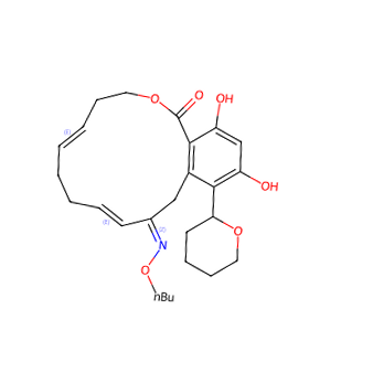 CCCCO/N=C1\C=C\CC/C=C/CCOC(=O)c2c(O)cc(O)c(C3CCCCO3)c2C1